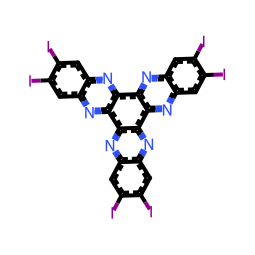 Ic1cc2nc3c4nc5cc(I)c(I)cc5nc4c4nc5cc(I)c(I)cc5nc4c3nc2cc1I